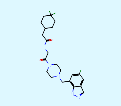 O=C(CC1CCC(F)(F)CC1)NCC(=O)N1CCN(Cc2cc(Cl)cc3cn[nH]c23)CC1